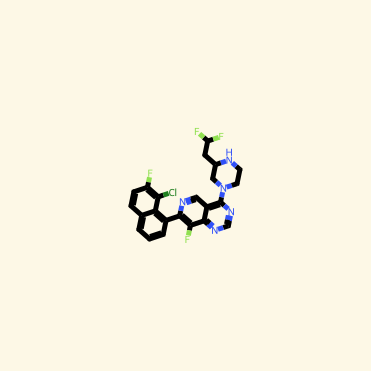 Fc1ccc2cccc(-c3ncc4c(N5CCNC(CC(F)F)C5)ncnc4c3F)c2c1Cl